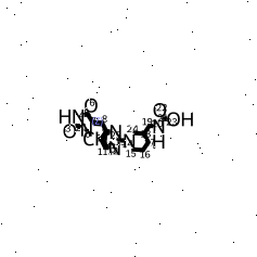 CN1C(=O)NC(=O)/C1=C/c1ccnc(N2CCCC(CNC(=O)O)C2)n1